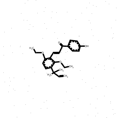 C=CC(C)(C)c1ccc(OCC)c(C=CC(=O)c2ccc(O)cc2)c1OCC